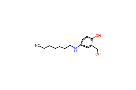 N#CCCCCCCNc1ccc(O)c(CO)c1